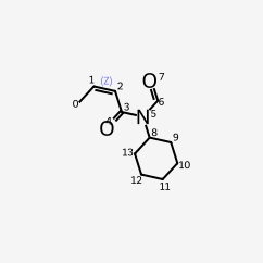 C/C=C\C(=O)N(C=O)C1CCCCC1